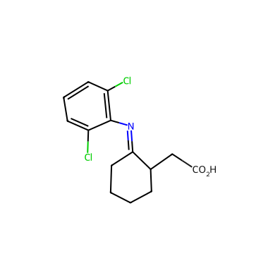 O=C(O)CC1CCCC/C1=N\c1c(Cl)cccc1Cl